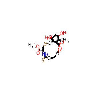 COC(=O)[C@@H]1CSCc2c(O)cc(O)c(C)c2C(=O)OCCCCC(=S)N1